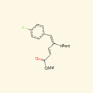 CCCCCC(C=CC(=O)OC)=Cc1ccc(F)cc1